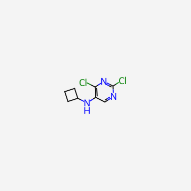 Clc1ncc(NC2CCC2)c(Cl)n1